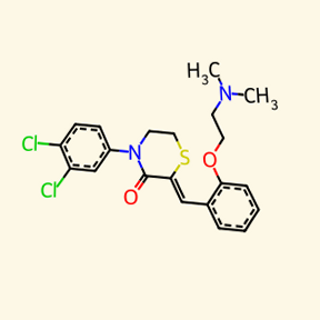 CN(C)CCOc1ccccc1C=C1SCCN(c2ccc(Cl)c(Cl)c2)C1=O